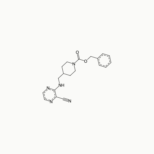 N#Cc1nccnc1NCC1CCN(C(=O)OCc2ccccc2)CC1